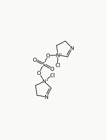 O=S(=O)(O[N+]1(Cl)C=NCC1)O[N+]1(Cl)C=NCC1